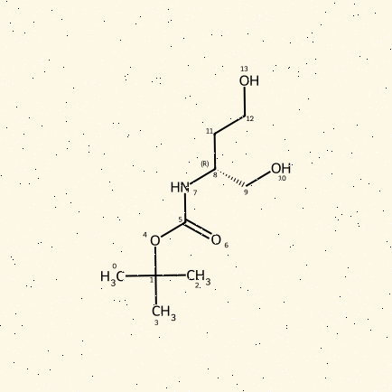 CC(C)(C)OC(=O)N[C@@H](CO)CCO